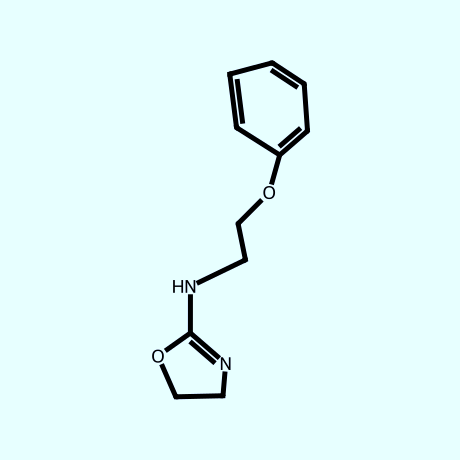 c1ccc(OCCNC2=NCCO2)cc1